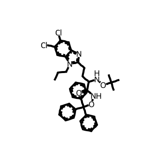 CCCn1c(CCC(NOC(C)(C)C)C(=O)NOC(c2ccccc2)(c2ccccc2)c2ccccc2)nc2cc(Cl)c(Cl)cc21